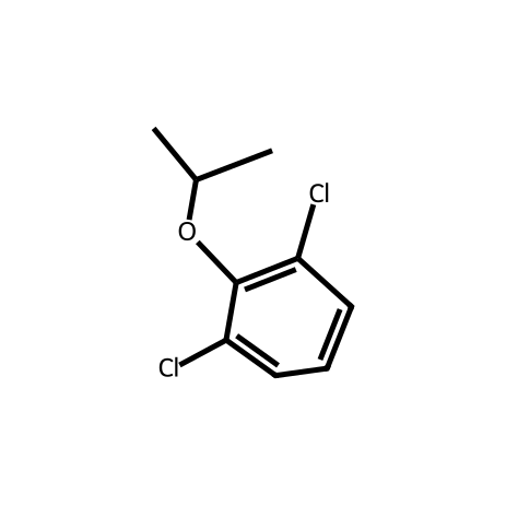 CC(C)Oc1c(Cl)cccc1Cl